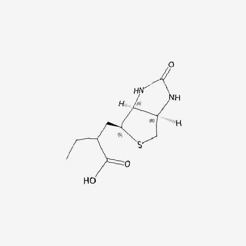 CCC(C[C@@H]1SC[C@@H]2NC(=O)N[C@@H]21)C(=O)O